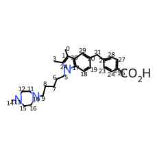 Cc1c(C)n(CCCCCN2CCN(C)CC2)c2ccc(Cc3ccc(C(=O)O)cc3)cc12